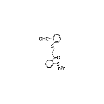 CCCSc1ccccc1C(=O)CCSc1ccccc1C=O